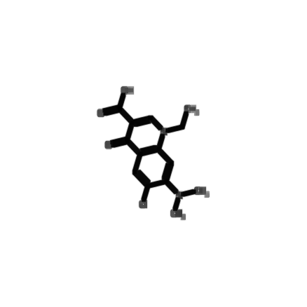 CCn1cc(C(=O)O)c(=O)c2cc(Cl)c(N(C)C)cc21